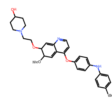 COC1C=c2c(Oc3ccc(Nc4ccc(C(C)(C)C)cc4)cc3)ccnc2=CC1OCCN1CCC(O)CC1